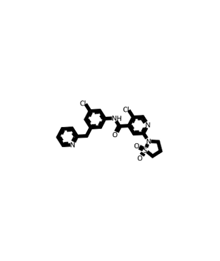 O=C(Nc1cc(Cl)cc(Cc2ccccn2)c1)c1cc(N2CCCS2(=O)=O)ncc1Cl